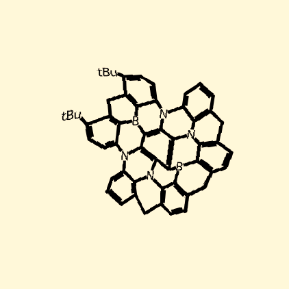 CC(C)(C)c1ccc2c3c1Cc1c(C(C)(C)C)ccc4c1B3c1c3c5c6c7c1n-4c1cccc4c1n7-c1c(ccc7c1B6c1c(ccc6c1-n5c1c(cccc1n3-2)C6)C7)C4